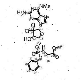 CNc1nc(N)nc2c1ncn2[C@@H]1O[C@H](CO[P@@](=O)(N[C@@H](C)C(=O)OC(C)C)Oc2ccccc2)[C@@H](O)C1(Cl)Cl